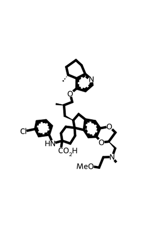 COCCN(C)C[C@@H]1COc2cc3c(cc2O1)C1(CCC(Nc2cccc(Cl)c2)(C(=O)O)CC1)[C@@H](C[C@@H](C)COc1ccnc2c1[C@H](C)CCC2)C3